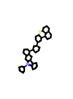 c1ccc(-n2c3ccccc3c3cc4c(-c5cccc(-c6ccc7c(c6)-c6cccc8cccc(c68)S7)c5)cccc4cc32)cc1